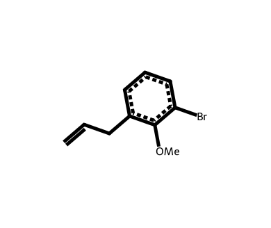 C=CCc1cccc(Br)c1OC